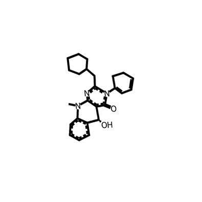 CN1c2ccccc2[C@H](O)c2c1nc(CC1CCCCC1)n(C1=CC=CCC1)c2=O